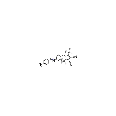 CN(C)c1ccc(/N=N/c2ccc(CC3C(C(F)(F)F)=C(C#N)C(C#N)=C3C(F)(F)F)cc2)cc1